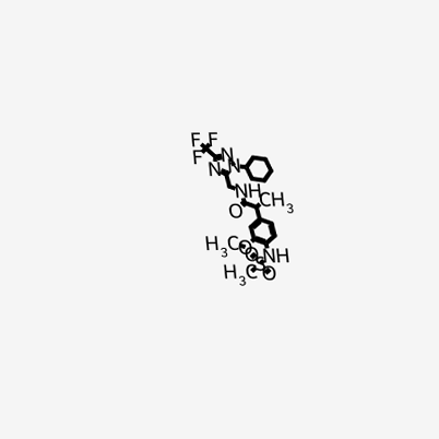 COc1cc(C(C)C(=O)NCc2nc(C(F)(F)F)nn2C2CCCCC2)ccc1NS(C)(=O)=O